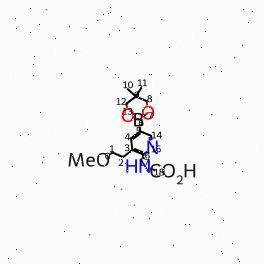 COCCc1cc(B2OCC(C)(C)CO2)cnc1NC(=O)O